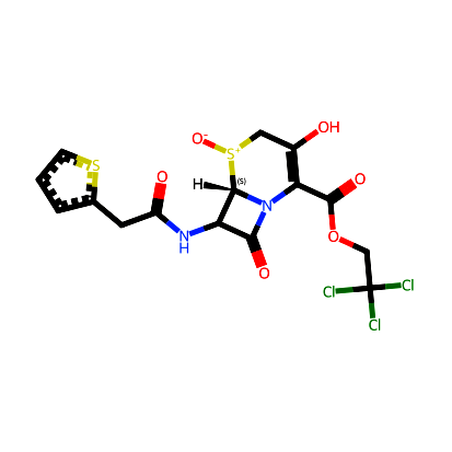 O=C(Cc1cccs1)NC1C(=O)N2C(C(=O)OCC(Cl)(Cl)Cl)=C(O)C[S+]([O-])[C@@H]12